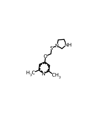 Cc1cc(OCSN2CCNC2)cc(C)n1